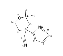 CC1(C)CC(C#N)(c2ccccn2)CCO1